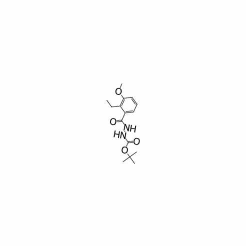 CCc1c(OC)cccc1C(=O)NNC(=O)OC(C)(C)C